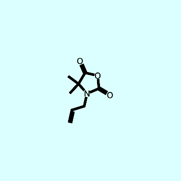 C=CCN1C(=O)OC(=O)C1(C)C